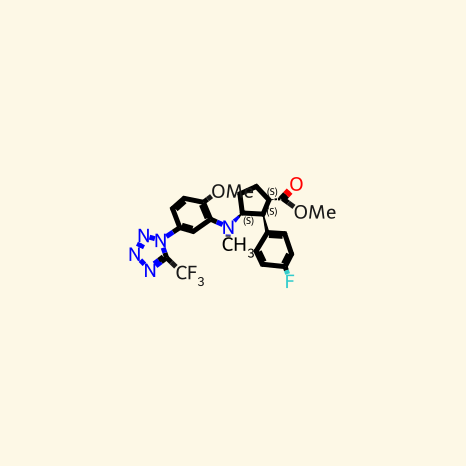 COC(=O)[C@H]1CC[C@H](N(C)c2cc(-n3nnnc3C(F)(F)F)ccc2OC)[C@@H]1c1ccc(F)cc1